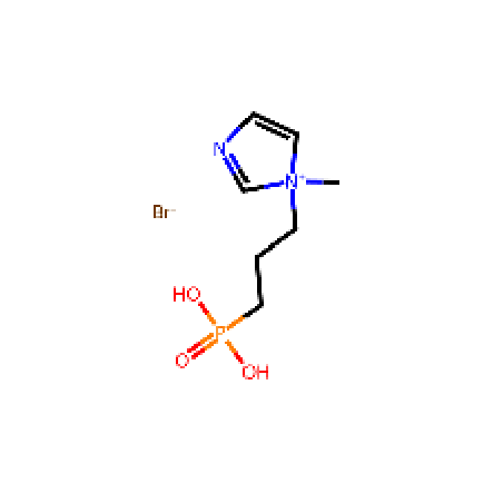 C[N+]1(CCCP(=O)(O)O)C=CN=C1.[Br-]